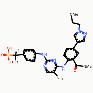 CCC(CC)(c1ccc(Nc2ncc(C(F)(F)F)c(Nc3ccc(-c4cnn(CCOC)c4)cc3C(=O)NC)n2)cc1)P(=O)(O)O